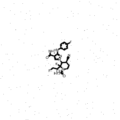 CC(CF)C1(F)C(n2cc(C(N)=O)c(Nc3ccc(F)cc3)n2)C(C#N)CCN1C(=O)O